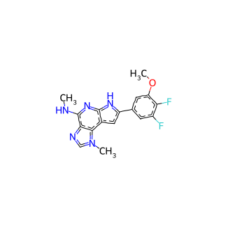 CNc1nc2[nH]c(-c3cc(F)c(F)c(OC)c3)cc2c2c1ncn2C